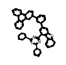 c1ccc(-c2nc(-c3ccccc3)nc(-c3cc(-c4cccc(-c5ccc6c7ccccc7c7ccccc7c6c5)c4)cc4oc5ccccc5c34)n2)cc1